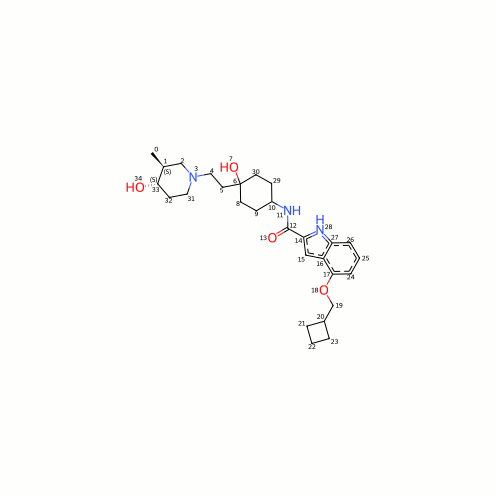 C[C@H]1CN(CCC2(O)CCC(NC(=O)c3cc4c(OCC5CCC5)cccc4[nH]3)CC2)CC[C@@H]1O